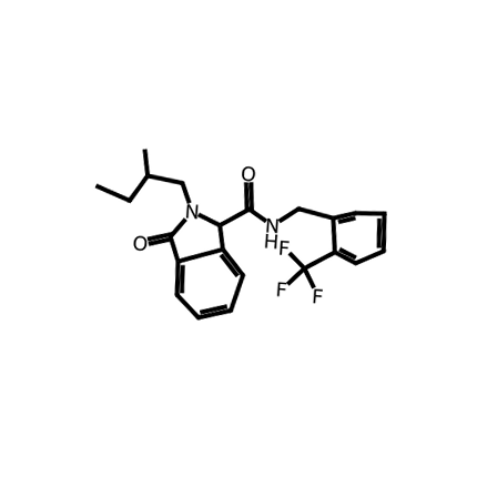 CCC(C)CN1C(=O)c2ccccc2C1C(=O)NCc1ccccc1C(F)(F)F